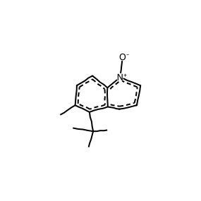 Cc1ccc2c(ccc[n+]2[O-])c1C(C)(C)C